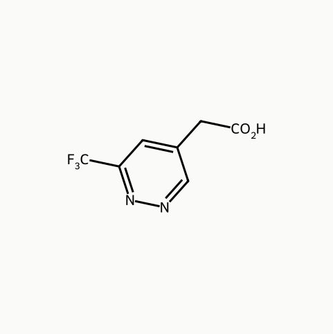 O=C(O)Cc1cnnc(C(F)(F)F)c1